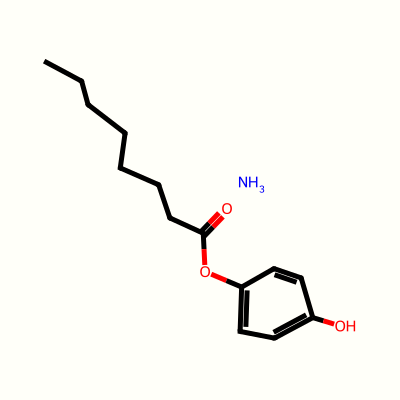 CCCCCCCC(=O)Oc1ccc(O)cc1.N